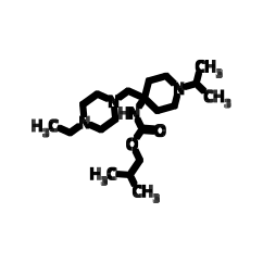 CCN1CCN(CC2(NC(=O)OCC(C)C)CCN(C(C)C)CC2)CC1